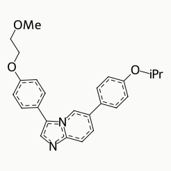 COCCOc1ccc(-c2cnc3ccc(-c4ccc(OC(C)C)cc4)cn23)cc1